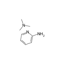 CN(C)C.Nc1ccccn1